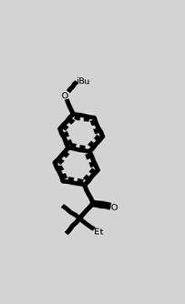 CCC(C)Oc1ccc2cc(C(=O)C(C)(C)CC)ccc2c1